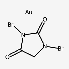 O=C1CN(Br)C(=O)N1Br.[Au]